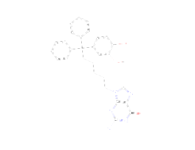 COc1cc(C(CCCCCn2cnc3c(=O)[nH]c(N)nc32)(c2ccccc2)c2ccccc2)ccc1O